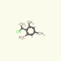 Cc1cc(C)c(C(C)Cl)c(C)c1